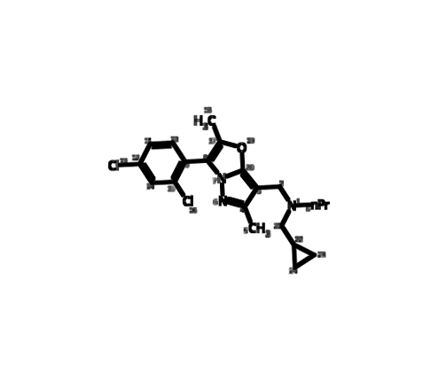 CCCN(Cc1c(C)nn2c(-c3ccc(Cl)cc3Cl)c(C)oc12)CC1CC1